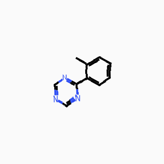 Cc1ccccc1-c1ncncn1